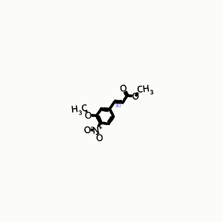 COC(=O)/C=C/c1ccc([N+](=O)[O-])c(OC)c1